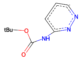 CC(C)(C)OC(=O)Nc1cc[c]nn1